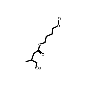 [CH2]COCCCCOC(=O)CC(C)CC(C)(C)C